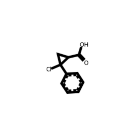 O=C(O)C1CC1(Cl)c1ccccc1